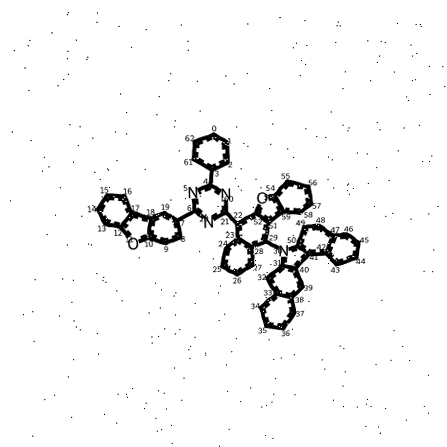 c1ccc(-c2nc(-c3ccc4oc5ccccc5c4c3)nc(-c3c4ccccc4c(-n4c5cc6ccccc6cc5c5c6ccccc6ccc54)c4c3oc3ccccc34)n2)cc1